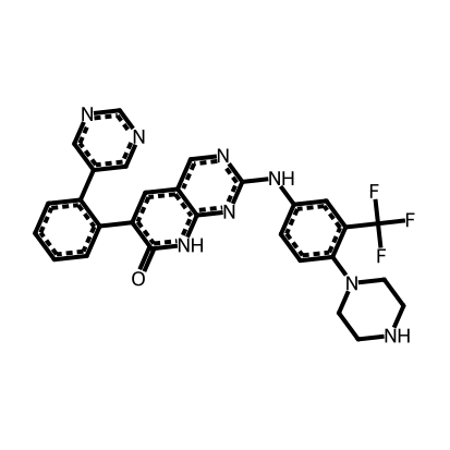 O=c1[nH]c2nc(Nc3ccc(N4CCNCC4)c(C(F)(F)F)c3)ncc2cc1-c1ccccc1-c1cncnc1